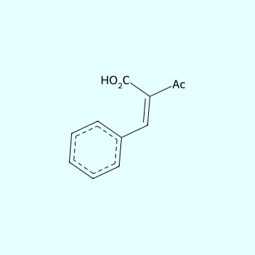 CC(=O)/C(=C/c1ccccc1)C(=O)O